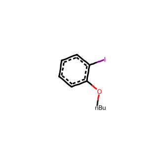 CCCCOc1ccccc1I